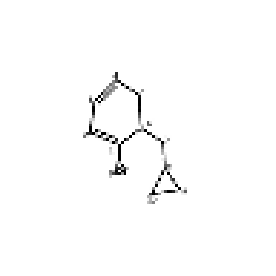 BrC1=CC=CCC1CC1CC1